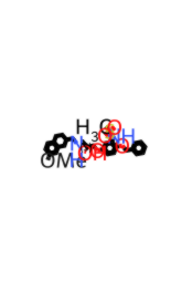 COc1ccc2c(c1)CC(CNC[C@H](O)COc1ccc(OCc3ccccc3)c(NS(C)(=O)=O)c1)CC2